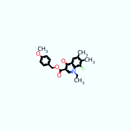 CCn1cc(C(=O)OCc2ccc(OC)cc2)c(=O)c2cc(C)c(C)c(F)c21